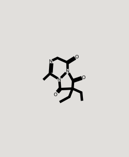 CCC1(CC)C(=O)N2C(=O)CN=C(C)N2C1=O